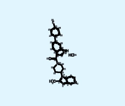 Cc1nc2cnccc2n1C1CCN(C(=O)c2c[nH]c3cc(-c4ccc(F)cc4)ccc23)CC1.Cl